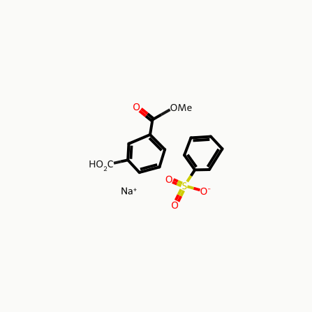 COC(=O)c1cccc(C(=O)O)c1.O=S(=O)([O-])c1ccccc1.[Na+]